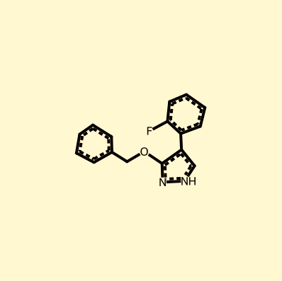 Fc1ccccc1-c1c[nH]nc1OCc1ccccc1